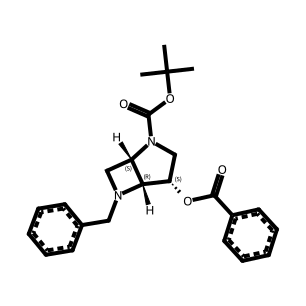 CC(C)(C)OC(=O)N1C[C@H](OC(=O)c2ccccc2)[C@H]2[C@@H]1CN2Cc1ccccc1